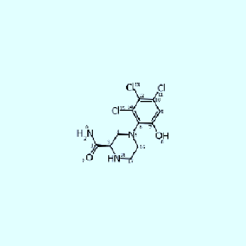 NC(=O)[C@H]1CN(c2c(O)cc(Cl)c(Cl)c2Cl)CCN1